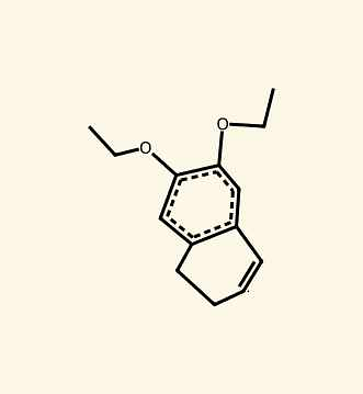 CCOc1cc2c(cc1OCC)CC[C]=C2